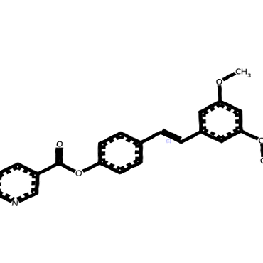 COc1cc(/C=C/c2ccc(OC(=O)c3cccnc3)cc2)cc(OC)c1